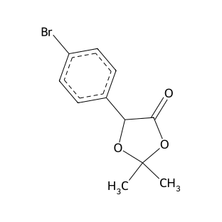 CC1(C)OC(=O)C(c2ccc(Br)cc2)O1